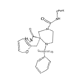 CCCCCNC(=O)N1CCN(S(=O)(=O)c2ccccc2)C(Cc2ccco2)(C(N)=O)C1